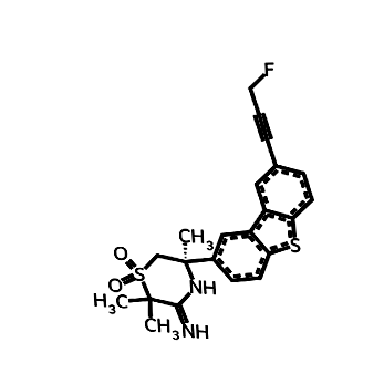 CC1(C)C(=N)N[C@](C)(c2ccc3sc4ccc(C#CCF)cc4c3c2)CS1(=O)=O